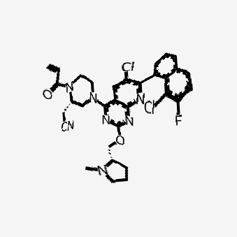 C=CC(=O)N1CCN(c2nc(OC[C@@H]3CCCN3C)nc3nc(-c4cccc5ccc(F)c(Cl)c45)c(Cl)cc23)C[C@@H]1CC#N